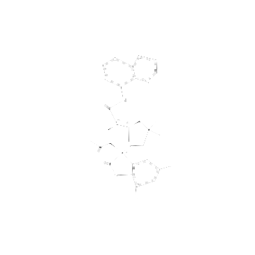 C[C@@H](C(=O)Nc1nccc2cccnc12)[C@H]1CC(F)(F)CN1[C@@]1(CC(=O)O)C(=O)Nc2c(Cl)cc(Cl)cc21